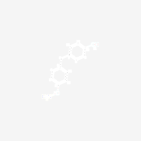 NOc1ccc(Cc2ccc(O)cc2)cc1